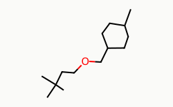 CC1CCC(COCCC(C)(C)C)CC1